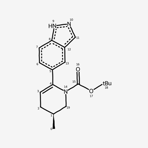 C[C@H]1CC=C(c2ccc3[nH]ncc3c2)N(C(=O)OC(C)(C)C)C1